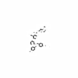 COc1ccc(CN(Cc2ccc(OC)cc2)c2cc(Oc3cnc4nc(Nc5cc6n(n5)CCN6C(C)(C)C)n(C)c4c3C#N)ccn2)cc1